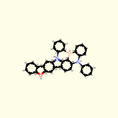 c1ccc(N2c3ccccc3B3c4ccccc4-n4c5cc6c(cc5c5ccc2c3c54)oc2ccccc26)cc1